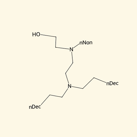 CCCCCCCCCCCCN(CCCCCCCCCCCC)CCN(CCO)CCCCCCCCC